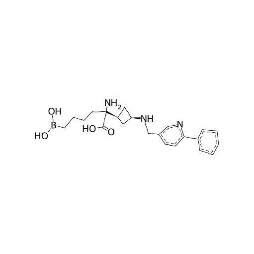 NC(CCCCB(O)O)(C(=O)O)[C@H]1C[C@@H](NCc2ccc(-c3ccccc3)nc2)C1